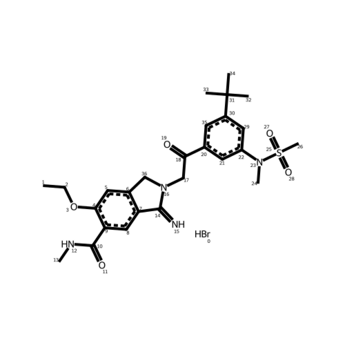 Br.CCOc1cc2c(cc1C(=O)NC)C(=N)N(CC(=O)c1cc(N(C)S(C)(=O)=O)cc(C(C)(C)C)c1)C2